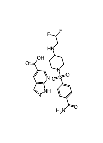 NC(=O)c1ccc(S(=O)(=O)N2CCC(NCC(F)F)CC2)cc1.O=C(O)c1cnc2[nH]ncc2c1